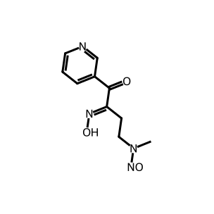 CN(CCC(=NO)C(=O)c1cccnc1)N=O